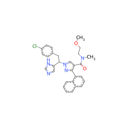 COCCN(C)C(=O)c1cn(C(Cc2ccc(Cl)cc2)c2cnc[nH]2)nc1-c1cccc2ccccc12